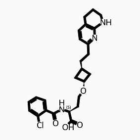 O=C(N[C@@H](CCO[C@H]1C[C@H](CCc2ccc3c(n2)NCCC3)C1)C(=O)O)c1ccccc1Cl